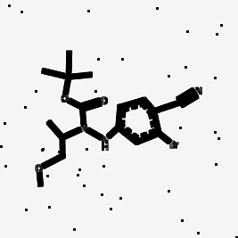 COCC(C)N(Nc1ccc(C#N)c(Br)c1)C(=O)OC(C)(C)C